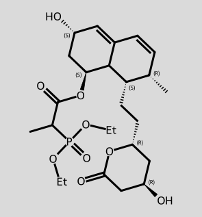 CCOP(=O)(OCC)C(C)C(=O)O[C@H]1C[C@H](O)C=C2C=C[C@H](C)[C@H](CC[C@@H]3C[C@@H](O)CC(=O)O3)C21